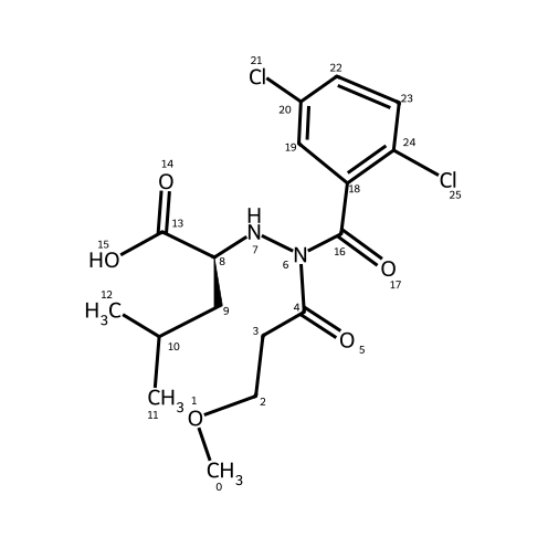 COCCC(=O)N(N[C@@H](CC(C)C)C(=O)O)C(=O)c1cc(Cl)ccc1Cl